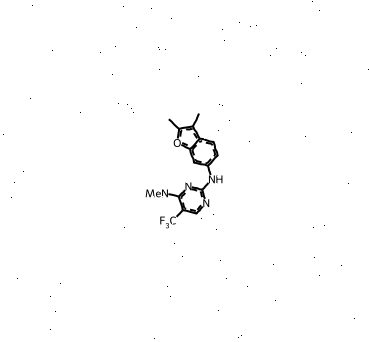 CNc1nc(Nc2ccc3c(C)c(C)oc3c2)ncc1C(F)(F)F